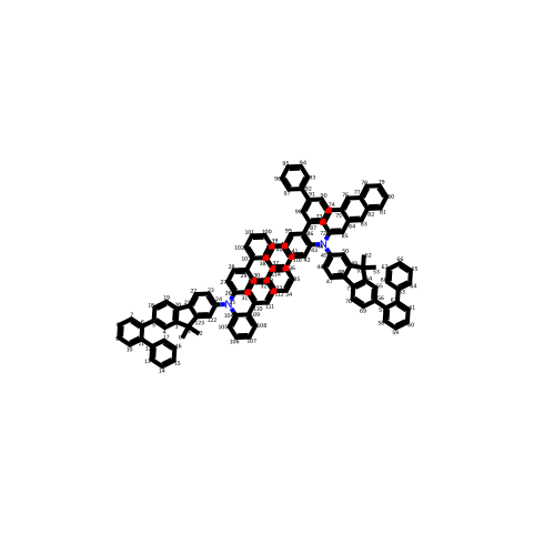 CC1(C)c2cc(-c3ccccc3-c3ccccc3)ccc2-c2ccc(N(c3ccc4c(c3)c3ccccc3c3c(-c5ccc(N(c6ccc7c(c6)C(C)(C)c6cc(-c8ccccc8-c8ccccc8)ccc6-7)c6ccc7cc8ccccc8cc7c6)c(-c6cccc(-c7ccccc7)c6)c5)cccc43)c3ccccc3-c3ccc(-c4ccccc4)cc3)cc21